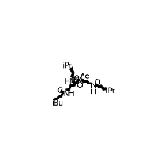 CCC(C)CCCCC(=O)NCCCCC(NC(=O)CCCCC(C)C)C(=O)NC(CCCCNC(=O)CCCCC(C)C)C(C)=O